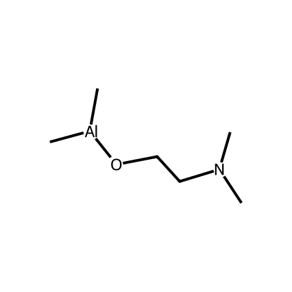 CN(C)CC[O][Al]([CH3])[CH3]